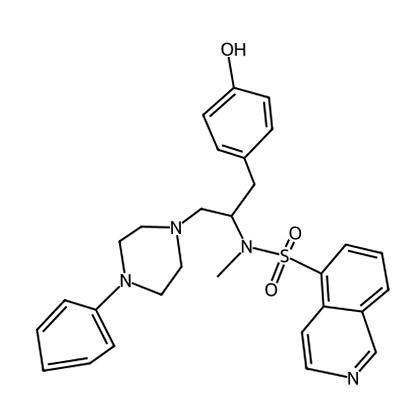 CN(C(Cc1ccc(O)cc1)CN1CCN(c2ccccc2)CC1)S(=O)(=O)c1cccc2cnccc12